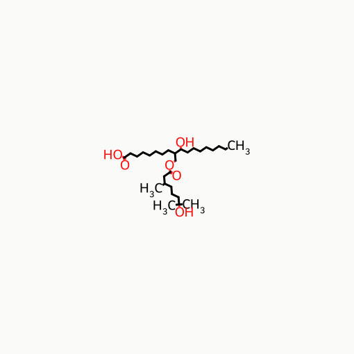 CCCCCCCCC(O)C(CCCCCCCC(=O)O)COC(=O)CC(C)CCCC(C)(C)O